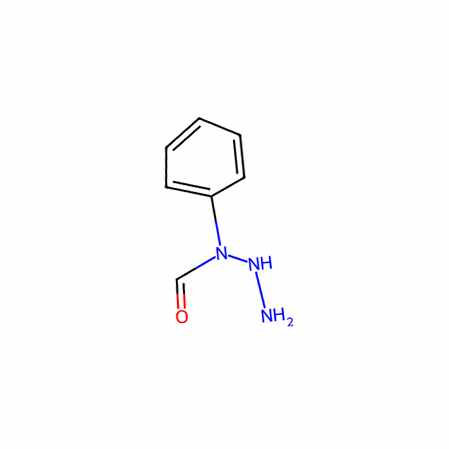 NNN(C=O)c1ccccc1